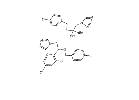 CC(C)(C)C(O)(CCc1ccc(Cl)cc1)Cn1cncn1.Clc1ccc(COC(Cn2ccnc2)c2ccc(Cl)cc2Cl)cc1